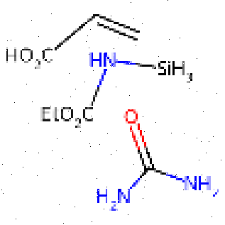 C=CC(=O)O.CCOC(=O)N[SiH3].NC(N)=O